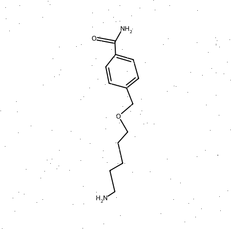 NCCC[CH]COCc1ccc(C(N)=O)cc1